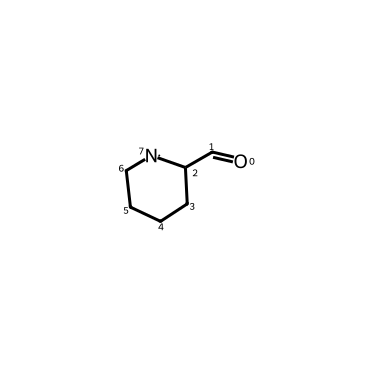 O=CC1CCCC[N]1